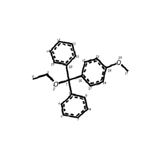 CCOC(c1ccccc1)(c1ccccc1)c1ccc(OC)cc1